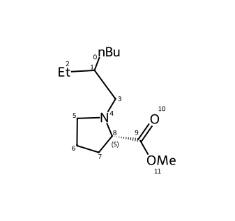 CCCCC(CC)CN1CCC[C@H]1C(=O)OC